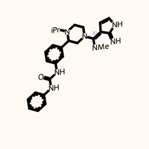 CN/C(=C1/C=CNC1=N)N1CCN(C(C)C)C(c2cccc(NC(=O)Nc3ccccc3)c2)C1